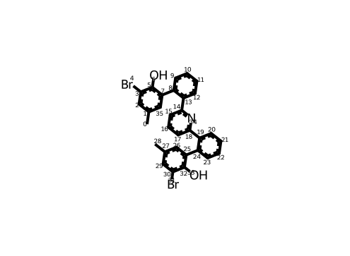 Cc1cc(Br)c(O)c(-c2ccccc2-c2cccc(-c3ccccc3-c3cc(C)cc(Br)c3O)n2)c1